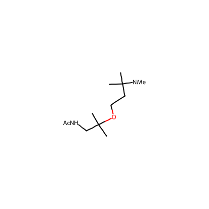 CNC(C)(C)CCOC(C)(C)CNC(C)=O